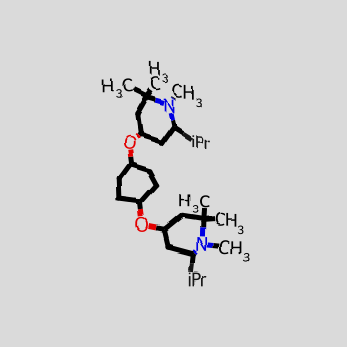 CC(C)C1CC(OC2CCC(OC3CC(C(C)C)N(C)C(C)(C)C3)CC2)CC(C)(C)N1C